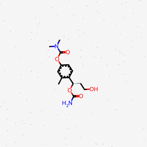 Cc1cc(OC(=O)N(C)C)ccc1[C@H](CCO)OC(N)=O